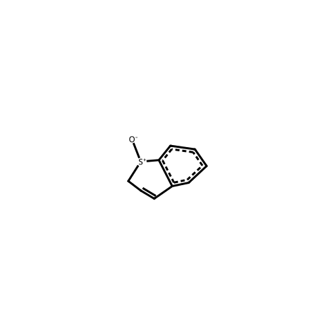 [O-][S+]1CC=Cc2ccccc21